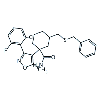 Cc1onc(-c2c(F)cccc2Cl)c1C1(C(N)=O)CCCC(CSCc2ccccc2)C1